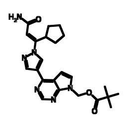 CC(C)(C)C(=O)OCn1ccc2c(-c3cnn(/C(=C/C(N)=O)C4CCCC4)c3)ncnc21